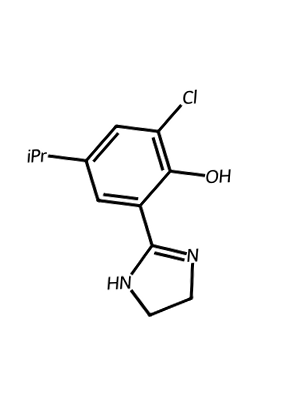 CC(C)c1cc(Cl)c(O)c(C2=NCCN2)c1